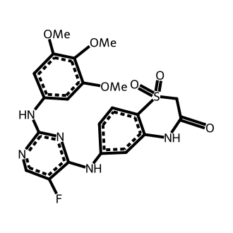 COc1cc(Nc2ncc(F)c(Nc3ccc4c(c3)NC(=O)CS4(=O)=O)n2)cc(OC)c1OC